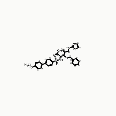 COc1ccc(-c2ccc(S(=O)(=O)NC(C(=O)O)C(OCc3ccccc3)C(O)CSc3nccs3)cc2)cc1